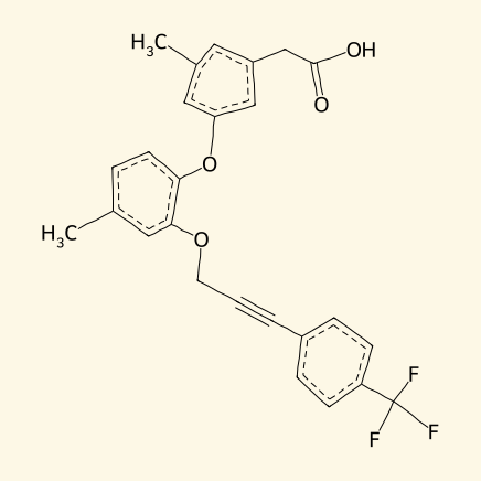 Cc1cc(CC(=O)O)cc(Oc2ccc(C)cc2OCC#Cc2ccc(C(F)(F)F)cc2)c1